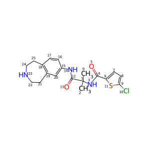 CC(C)(NC(=O)c1ccc(Cl)s1)C(=O)Nc1ccc2c(c1)CCNCC2